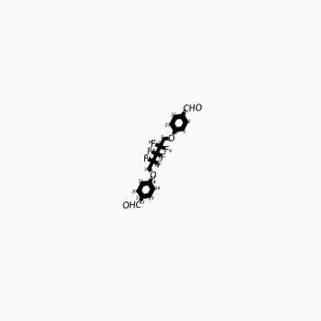 O=Cc1ccc(OCC(F)(F)C(F)(F)C(F)(F)COc2ccc(C=O)cc2)cc1